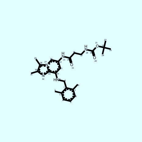 Cc1cccc(C)c1CNc1cc(NC(=O)CCNC(=O)OC(C)(C)C)cn2c(C)c(C)nc12